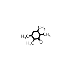 CC1CC(C)C(C)C(=O)C1C